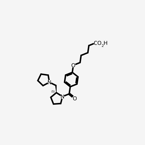 O=C(O)CCCCOc1ccc(C(=O)N2CCC[C@H]2CN2CCCC2)cc1